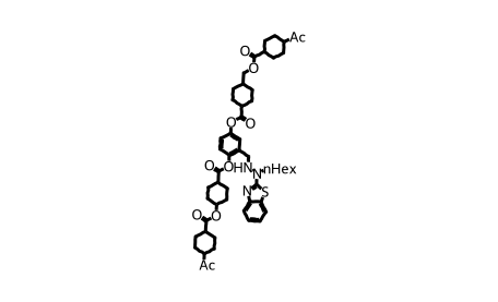 CCCCCCN(NCc1cc(OC(=O)C2CCC(COC(=O)C3CCC(C(C)=O)CC3)CC2)ccc1OC(=O)C1CCC(OC(=O)C2CCC(C(C)=O)CC2)CC1)c1nc2ccccc2s1